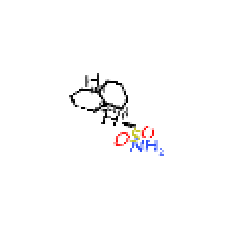 NS(=O)(=O)C=C[C@H]1CCC[C@@H]2CCCC[C@@H]21